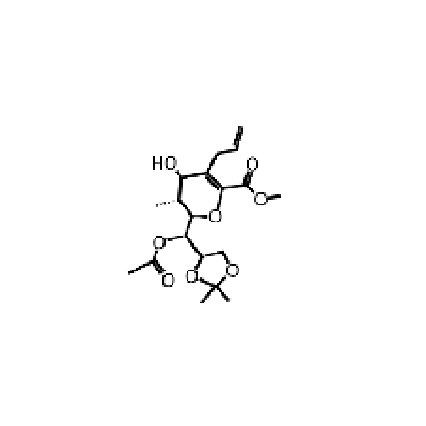 C=CCC1=C(C(=O)OC)O[C@@H]([C@H](OC(C)=O)[C@H]2COC(C)(C)O2)[C@H](C)[C@H]1O